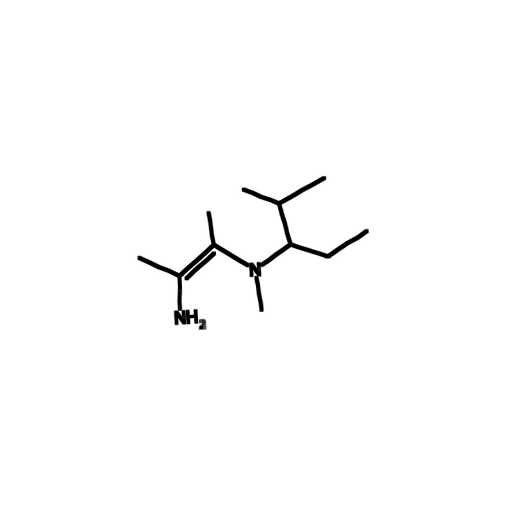 CCC(C(C)C)N(C)/C(C)=C(/C)N